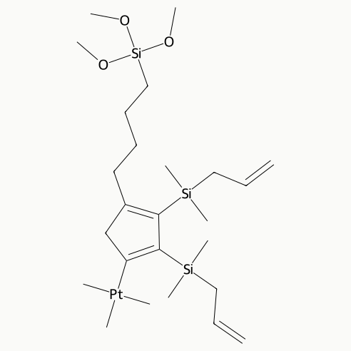 C=CC[Si](C)(C)C1=C(CCCC[Si](OC)(OC)OC)C[C]([Pt]([CH3])([CH3])[CH3])=C1[Si](C)(C)CC=C